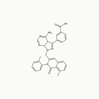 Cc1ccccc1-n1c(CN2N=C(c3cccc(C(=O)O)c3)C3C(N)=NC=NC32)cc2cccc(C)c2c1=O